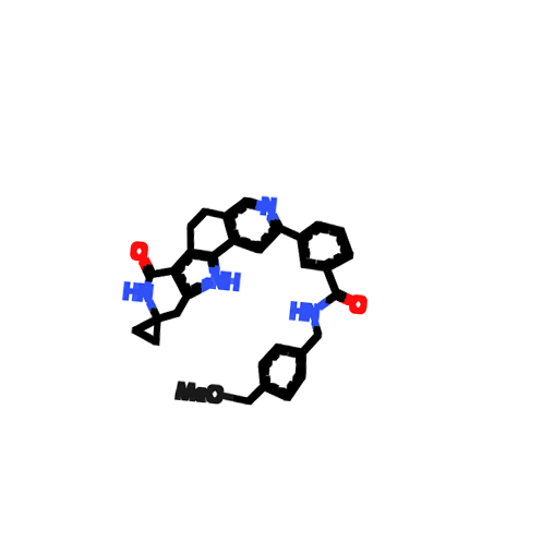 COCc1ccc(CNC(=O)c2cccc(-c3cc4c(cn3)CCc3c-4[nH]c4c3C(=O)NC3(CC3)C4)c2)cc1